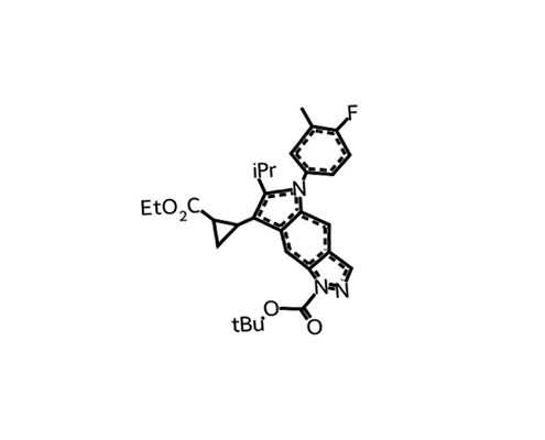 CCOC(=O)C1CC1c1c(C(C)C)n(-c2ccc(F)c(C)c2)c2cc3cnn(C(=O)OC(C)(C)C)c3cc12